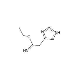 CCOC(=N)Cc1c[nH]cn1